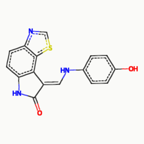 O=C1Nc2ccc3ncsc3c2/C1=C\Nc1ccc(O)cc1